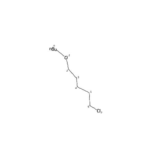 CCCCOCCCCCCl